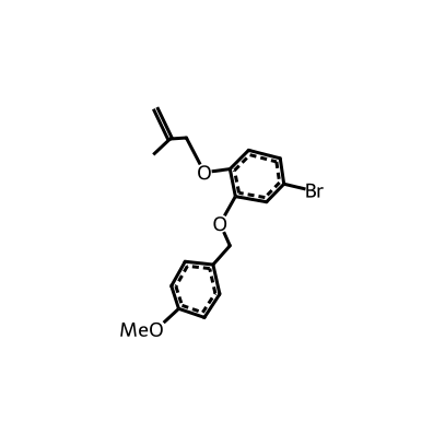 C=C(C)COc1ccc(Br)cc1OCc1ccc(OC)cc1